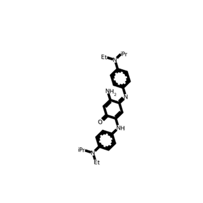 CCN(c1ccc(/N=C2/C=C(Nc3ccc(N(CC)C(C)C)cc3)C(=O)C=C2N)cc1)C(C)C